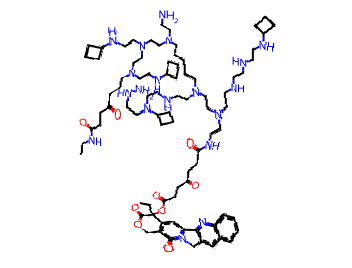 CCNC(=O)CCC(=O)CCCN(CCNC1CCC1)CCN(CCNC1CCC1)CCN(CCN)CCCCCN(CCNCCN(CCNN)C1CCC1)CCN(CCNCCNCCNC1CCC1)CCNC(=O)CCC(=O)CCC(=O)OC1(CC)C(=O)OCc2c1cc1n(c2=O)Cc2cc3ccccc3nc2-1